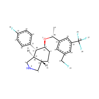 C[C@@H](O[C@H]1CC[C@@H]2CNC[C@H]2[C@@H]1c1ccc(F)cc1)c1cc(CF)cc(C(F)(F)F)c1